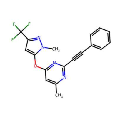 Cc1cc(Oc2cc(C(F)(F)F)nn2C)nc(C#Cc2ccccc2)n1